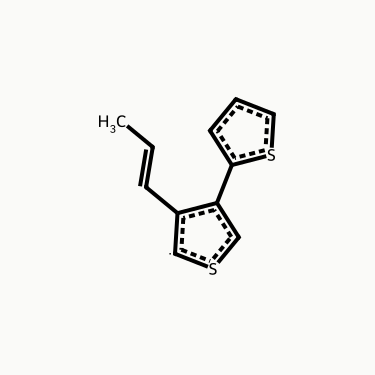 CC=Cc1[c]scc1-c1cccs1